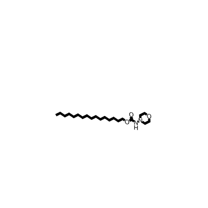 CCCCCCCCCCCCCCCCOC(=O)NN1CCOCC1